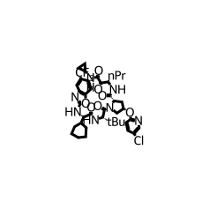 CCC[C@H](NC(=O)[C@@H]1C[C@@H](Oc2ccc(Cl)cn2)CN1C(=O)[C@@H](NC(=O)[C@@H](Nc1nc2cc(C(F)(F)F)ccc2o1)C1CCCCC1)C(C)(C)C)C(=O)C(=O)NC1CC1